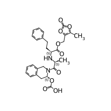 Cc1oc(=O)oc1COC(=O)[C@H](CCc1ccccc1)N[C@@H](C)C(=O)N1Cc2ccccc2C[C@@H]1OC(=O)O